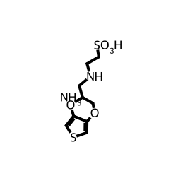 N.O=S(=O)(O)CCNCC1COc2cscc2O1